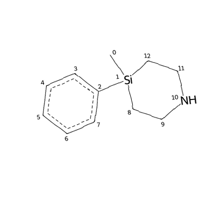 C[Si]1(c2ccccc2)CCNCC1